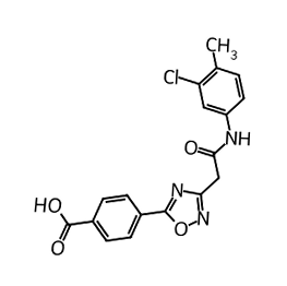 Cc1ccc(NC(=O)Cc2noc(-c3ccc(C(=O)O)cc3)n2)cc1Cl